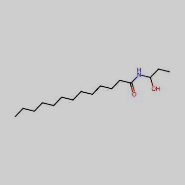 CCCCCCCCCCCCC(=O)NC(O)CC